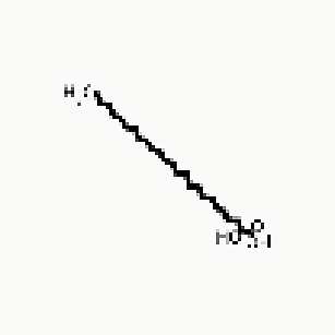 CCCCCCCCCCCCCCCCCCCCCC=CCC(O)C(=O)O